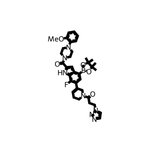 COc1ccccc1N1CCN(C(=O)c2cc3c(B4OC(C)(C)C(C)(C)O4)cc(C4=CCCN(C(=O)CCn5ccnn5)C4)c(F)c3[nH]2)CC1